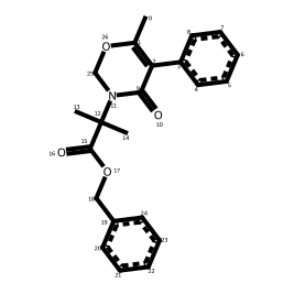 CC1=C(c2ccccc2)C(=O)N(C(C)(C)C(=O)OCc2ccccc2)CO1